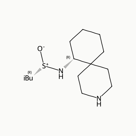 CC[C@@H](C)[S+]([O-])N[C@@H]1CCCCC12CCNCC2